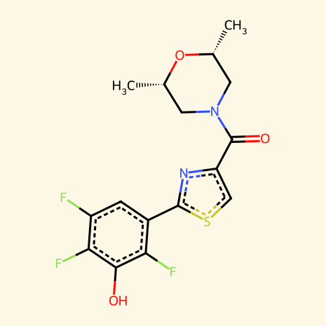 C[C@@H]1CN(C(=O)c2csc(-c3cc(F)c(F)c(O)c3F)n2)C[C@H](C)O1